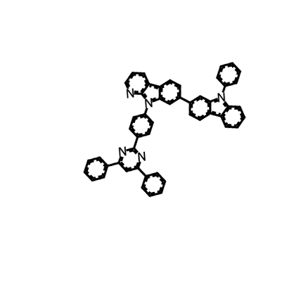 c1ccc(-c2cc(-c3ccccc3)nc(-c3ccc(-n4c5cc(-c6ccc7c8ccccc8n(-c8ccccc8)c7c6)ccc5c5cccnc54)cc3)n2)cc1